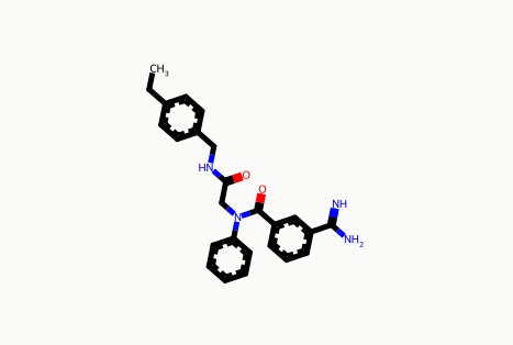 CCc1ccc(CNC(=O)CN(C(=O)c2cccc(C(=N)N)c2)c2ccccc2)cc1